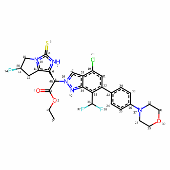 CCOC(=O)[C@@H](c1[nH]c(=S)n2c1C[C@@H](F)C2)n1cc2c(Cl)cc(-c3ccc(N4CCOCC4)cc3)c(C(F)F)c2n1